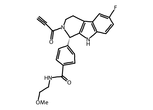 C#CC(=O)N1CCc2c([nH]c3ccc(F)cc23)[C@@H]1c1ccc(C(=O)NCCOC)cc1